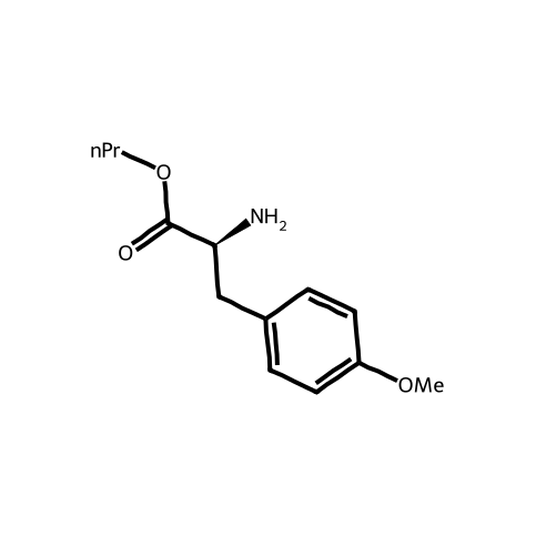 CCCOC(=O)[C@@H](N)Cc1ccc(OC)cc1